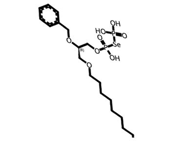 CCCCCCCCCCCCCCCCCCOC[C@H](COP(=O)(O)[Se]P(=O)(O)O)OCc1ccccc1